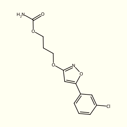 NC(=O)OCCCOc1cc(-c2cccc(Cl)c2)on1